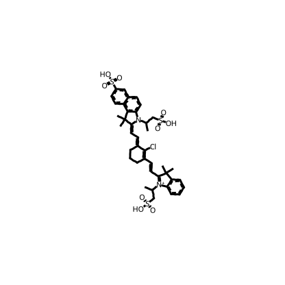 CC(CS(=O)(=O)O)N1/C(=C\C=C2/CCCC(/C=C/C3=[N+](C(C)CS(=O)(=O)O)c4ccccc4C3(C)C)=C2Cl)C(C)(C)c2c1ccc1cc(S(=O)(=O)O)ccc21